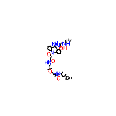 CCC(C)C(C)CC(C)NC(=O)C(C)(C)CCOC(C)(C)CCNC(=O)CCC(=O)N1Cc2ccccc2-c2c(nnn2C(O)CNC(C)C)-c2ccccc21